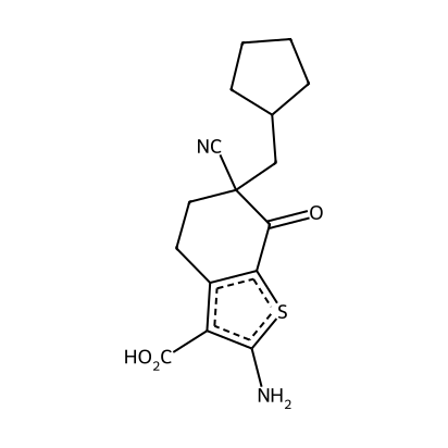 N#CC1(CC2CCCC2)CCc2c(sc(N)c2C(=O)O)C1=O